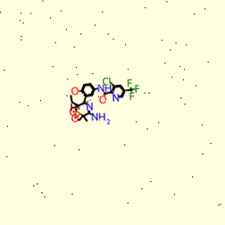 CC1(C)C(N)=N[C@]2(C)c3cc(NC(=O)c4ncc(C(F)(F)F)cc4Cl)ccc3OCC[C@H]2S1(=O)=O